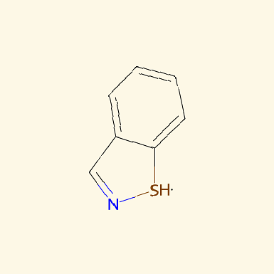 C1=N[SH]c2ccccc21